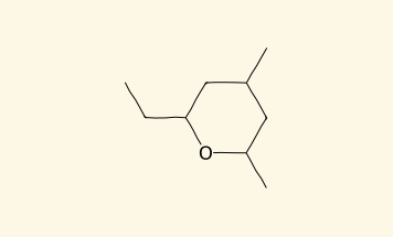 CCC1CC(C)CC(C)O1